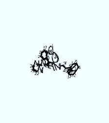 O=C(NCCC12CC3CC(CC(C3)C1)C2)c1cn(-c2ncccn2)c2cccc(Cl)c12